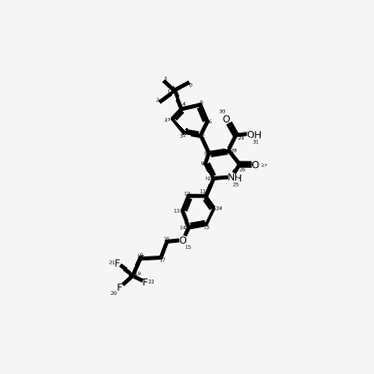 CC(C)(C)c1ccc(-c2cc(-c3ccc(OCCCC(F)(F)F)cc3)[nH]c(=O)c2C(=O)O)cc1